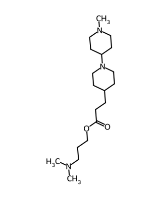 CN(C)CCCOC(=O)CCC1CCN(C2CCN(C)CC2)CC1